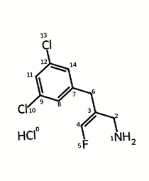 Cl.NCC(=CF)Cc1cc(Cl)cc(Cl)c1